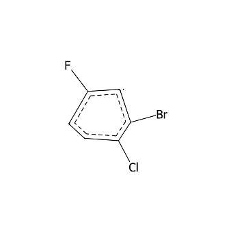 Fc1[c]c(Br)c(Cl)cc1